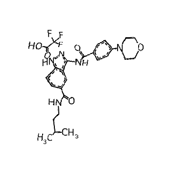 CC(C)CCNC(=O)c1ccc2[nH]nc(NC(=O)c3ccc(N4CCOCC4)cc3)c2c1.O=C(O)C(F)(F)F